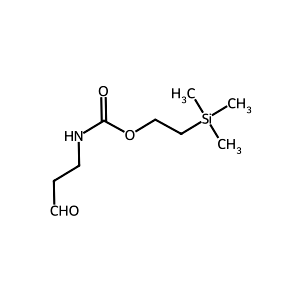 C[Si](C)(C)CCOC(=O)NCCC=O